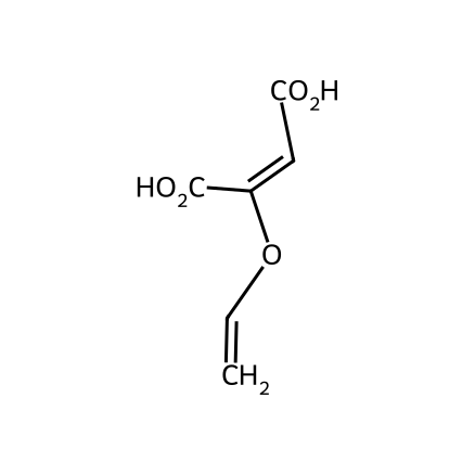 C=CO/C(=C/C(=O)O)C(=O)O